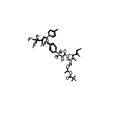 CC[C@@H](C)[C@@H](COC(=O)NS(=O)(=O)c1ccc(-n2nc(C(F)(F)F)cc2-c2ccc(C)cc2)cc1)N(C)[N+]([O-])=NOC(C)OC(=O)C(C)(C)C